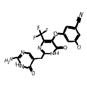 N#Cc1cc(Cl)cc(Oc2c(C(F)(F)F)nc(Cc3cnc(N)[nH]c3=O)[nH]c2=O)c1